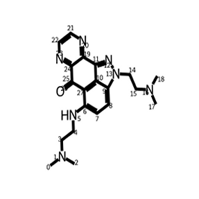 CN(C)CCNc1ccc2c3c(nn2CCN(C)C)-c2nccnc2C(=O)c13